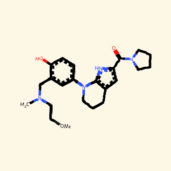 COCCN(C)Cc1cc(N2CCCc3cc(C(=O)N4CCCC4)[nH]c32)ccc1O